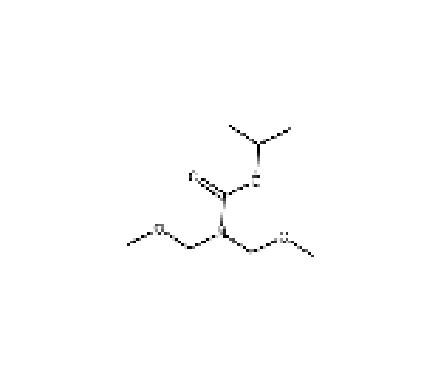 COCN(COC)C(=O)OC(C)C